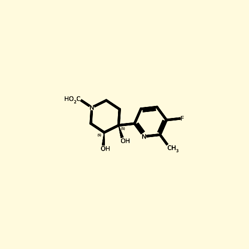 Cc1nc([C@@]2(O)CCN(C(=O)O)C[C@@H]2O)ccc1F